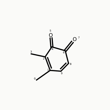 CC1=C(C)C(=O)C(=O)C=C1